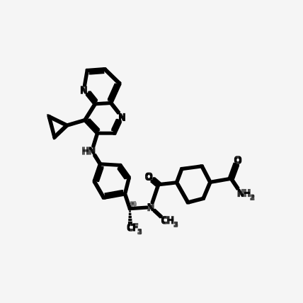 CN(C(=O)C1CCC(C(N)=O)CC1)[C@@H](c1ccc(Nc2cnc3cccnc3c2C2CC2)cc1)C(F)(F)F